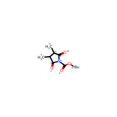 CC1C(=O)N(C(=O)OC(C)(C)C)C(=O)C1C